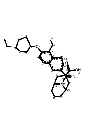 CC[C@H]1CC[C@@H](Oc2ccc3cc(C(=O)N4C5CCCC4CC(C(=O)O)C5)ccc3c2CF)CC1